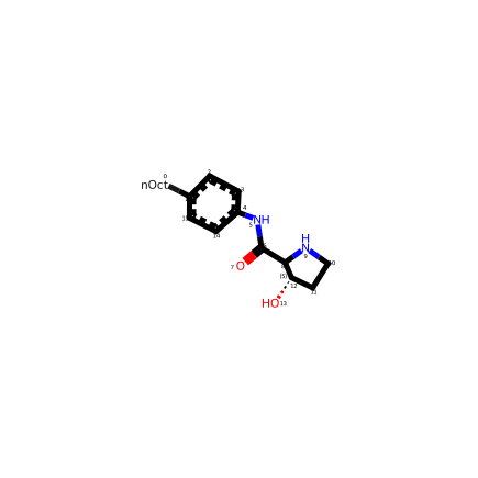 CCCCCCCCc1ccc(NC(=O)C2NCC[C@@H]2O)cc1